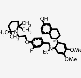 CCN(Cc1ccc(OCCN2C(C)(C)CCCC2(C)C)c(F)c1)C1C=C(OC)C(OC)=CC1[C@@H]1CCc2cc(O)ccc2C1